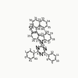 c1ccc(-c2nc(-c3ccccc3)nc(-n3c4cccc5c4c4c6c(ccc43)sc3ccc4cccc-5c4c36)n2)cc1